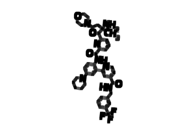 CC(N)(CCN1CCOCC1)C(=O)c1cccc(C(=O)Nc2ccc(N3CCCCC3)cc2-c2cc(C(=O)NCc3cccc(C(F)(F)F)c3)ccn2)n1